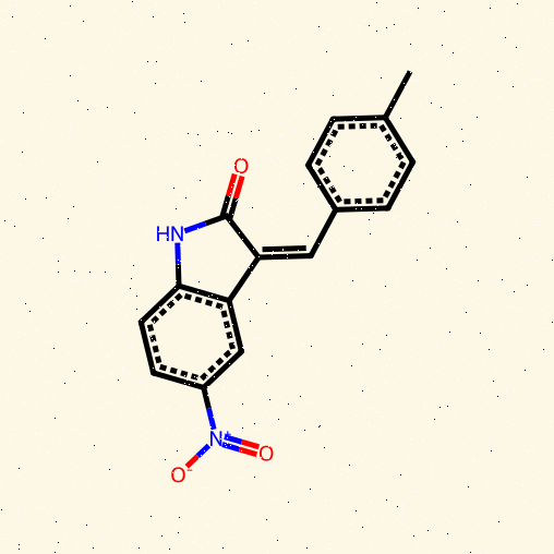 Cc1ccc(/C=C2\C(=O)Nc3ccc([N+](=O)[O-])cc32)cc1